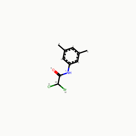 Cc1cc(C)cc(NC(=O)C(Cl)Br)c1